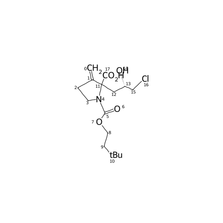 C=C1CCN(C(=O)OCCC(C)(C)C)C1(C[C@H](O)CCl)C(=O)O